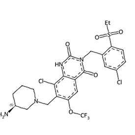 CCS(=O)(=O)c1ccc(Cl)cc1Cn1c(=O)[nH]c2c(Cl)c(CN3CCC[C@H](N)C3)c(OC(F)(F)F)cc2c1=O